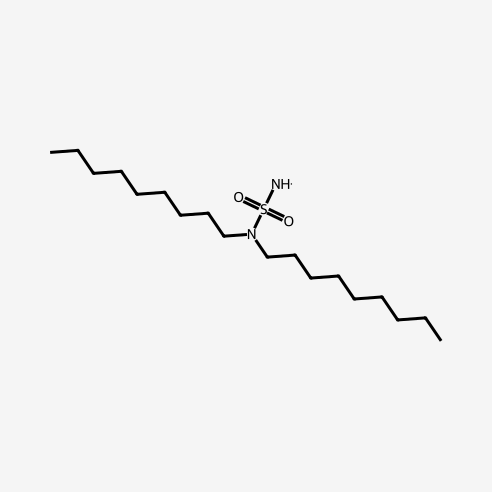 CCCCCCCCCN(CCCCCCCCC)S([NH])(=O)=O